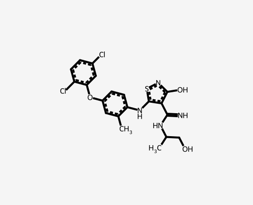 Cc1cc(Oc2cc(Cl)ccc2Cl)ccc1Nc1snc(O)c1C(=N)NC(C)CO